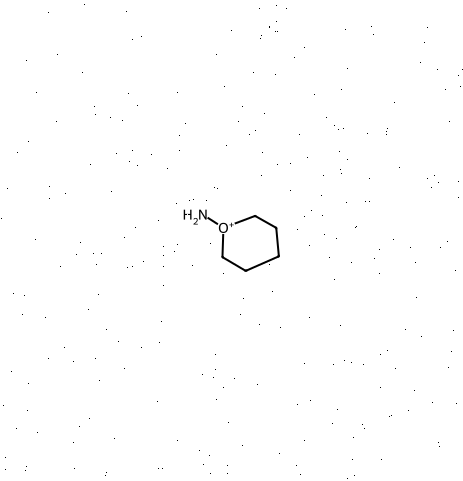 N[O+]1CCCCC1